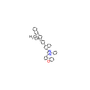 CC1(C)c2cc(-c3ccc(-c4ccc(-c5cc(-c6cccc7oc8ccccc8c67)nc(-c6ccccc6)n5)c5ccccc45)cc3)ccc2-c2cc3ccccc3cc21